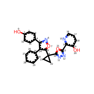 Oc1ccc(-c2noc(C3(c4nnc(-c5ncccc5O)o4)CC3)c2-c2ccccc2)cc1